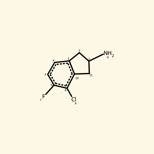 NC1Cc2ccc(F)c(Cl)c2C1